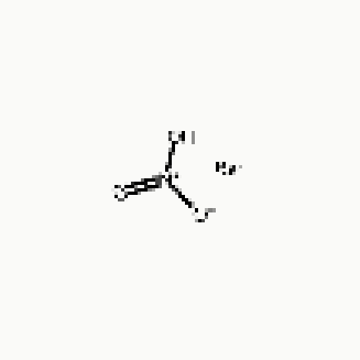 O=[N+]([O-])O.[Ra]